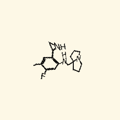 Cc1cc(C2CN2)c(NCC23CCCN2CCC3)cc1F